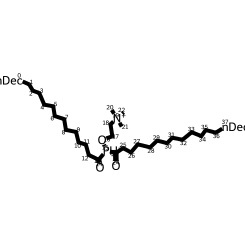 CCCCCCCCCCCCCCCCCCCCCCC(=O)[PH-](OCC[N+](C)(C)C)C(=O)CCCCCCCCCCCCCCCCCCCCCC